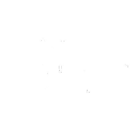 O=C(O)CC1(C(=O)NCc2nc3ccc(Br)cc3s2)Cc2ccccc2C1